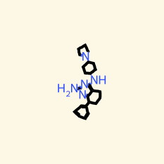 Nc1nc(N[C@H]2CC[C@H](N3CCCC3)CC2)c2c(n1)C(c1ccccc1)CCC2